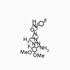 COc1cc2c(N)nc(N3CCN(C(=O)C[C@@H](N)c4ccc(F)cc4)C[C@@H]3C)nc2c(F)c1OC